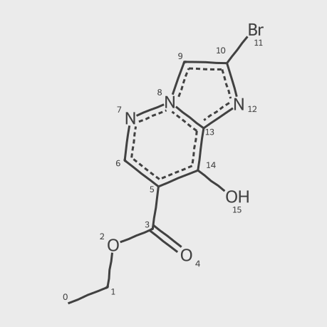 CCOC(=O)c1cnn2cc(Br)nc2c1O